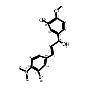 COc1ccc(C(O)/C=C/c2ccc(N(C)C)c(Br)c2)cc1Cl